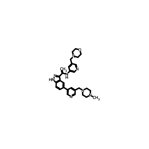 C=C(Nc1cncc(CN2CCOCC2)c1)c1n[nH]c2ccc(-c3cncc(CN4CCN(C)CC4)c3)cc12